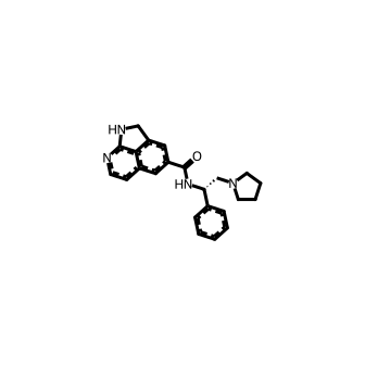 O=C(N[C@H](CN1CCCC1)c1ccccc1)c1cc2c3c(nccc3c1)NC2